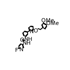 COc1ccc(CCOc2cccc(-c3cccc(NC(=O)Nc4ccc(F)nc4)c3)n2)cc1OC